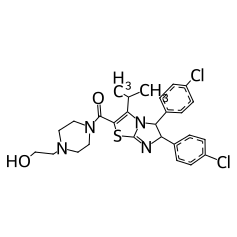 CC(C)C1=C(C(=O)N2CCN(CCO)CC2)SC2=NC(c3ccc(Cl)cc3)C(c3ccc(Cl)cc3)N21